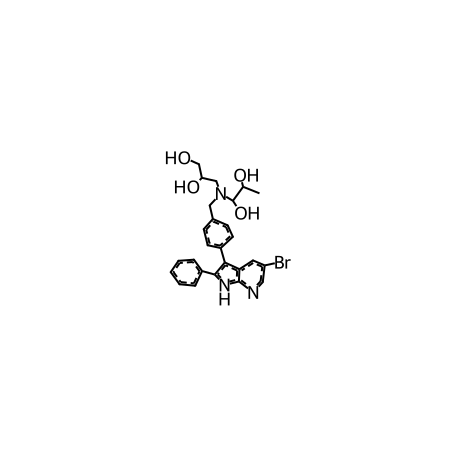 CC(O)C(O)N(Cc1ccc(-c2c(-c3ccccc3)[nH]c3ncc(Br)cc23)cc1)CC(O)CO